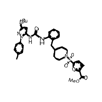 COC(=O)c1ccc(S(=O)(=O)N2CCC(Cc3ccccc3NC(=O)Nc3cc(C(C)(C)C)nn3-c3ccc(C)cc3)CC2)o1